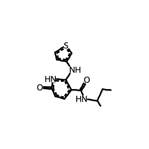 CCC(C)NC(=O)c1ccc(=O)[nH]c1Nc1ccsc1